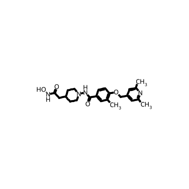 Cc1cc(COc2ccc(C(=O)NN3CCC(CC(=O)NO)CC3)cc2C)cc(C)n1